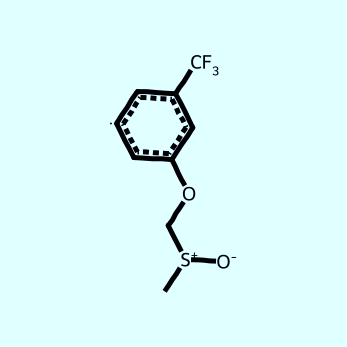 C[S+]([O-])COc1c[c]cc(C(F)(F)F)c1